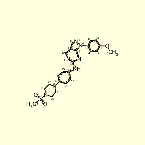 COc1ccc(-n2ncc3cnc(Nc4ccc(N5CCN(S(C)(=O)=O)CC5)cc4)nc32)cc1